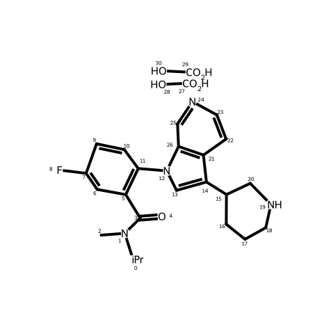 CC(C)N(C)C(=O)c1cc(F)ccc1-n1cc(C2CCCNC2)c2ccncc21.O=C(O)O.O=C(O)O